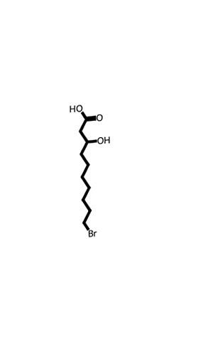 O=C(O)CC(O)CCCCCCCBr